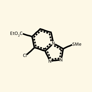 CCOC(=O)c1ccn2c(SC)nnc2c1Cl